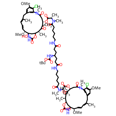 COc1cc2cc(c1Cl)N(C)C(=O)C[C@H](OC(=O)[C@H](C)N(C)C(=O)CCCCCNC(=O)CCC(CCC(=O)NCCCCCC(=O)N(C)[C@@H](C)C(=O)O[C@H]1CC(=O)N(C)c3cc(cc(OC)c3Cl)C/C(C)=C/C=C/[C@@H](OC)[C@@]3(O)CC(OC(=O)N3)[C@@H](C)C3O[C@]31C)NC(=O)OC(C)(C)C)[C@]1(C)OC1[C@H](C)C1C[C@@](O)(NC(=O)O1)[C@H](OC)/C=C/C=C(\C)C2